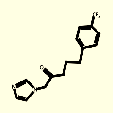 O=C(CCCc1ccc(C(F)(F)F)cc1)Cn1ccnc1